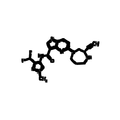 C#C[C@@H]1CN(c2ccn3ncc(C(=O)Nc4cn(C)nc4C(F)F)c3n2)CCCN1